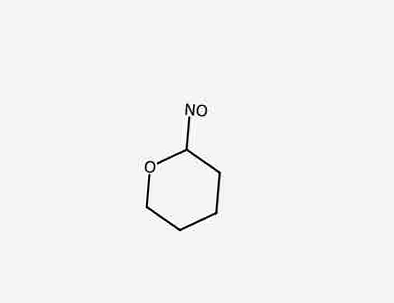 O=NC1CCCCO1